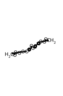 C=CC(=O)OCCOCCOCCOc1ccc(C(=O)Oc2ccc(-c3ccc(OCCOC(=O)C=C)cc3)cc2)cc1